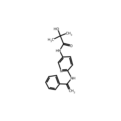 C=C(Nc1ccc(NC(=O)C(C)(C)O)cn1)c1ccccc1